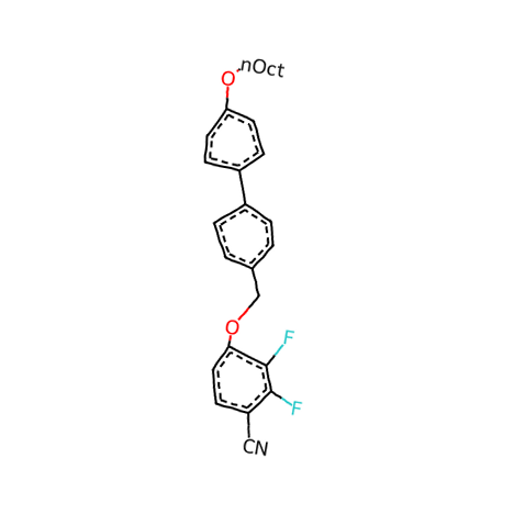 CCCCCCCCOc1ccc(-c2ccc(COc3ccc(C#N)c(F)c3F)cc2)cc1